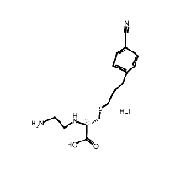 Cl.N#Cc1ccc(CCCSC[C@@H](NCCN)C(=O)O)cc1